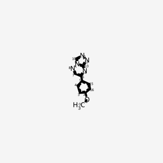 COc1ccc(-c2cnn3cnnc3n2)cc1